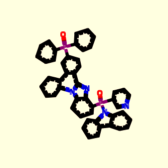 O=P(c1ccccc1)(c1ccccc1)c1ccc2c(c1)c1ccccc1n1c3cccc(P(=O)(c4cccnc4)n4c5ccccc5c5ccccc54)c3nc21